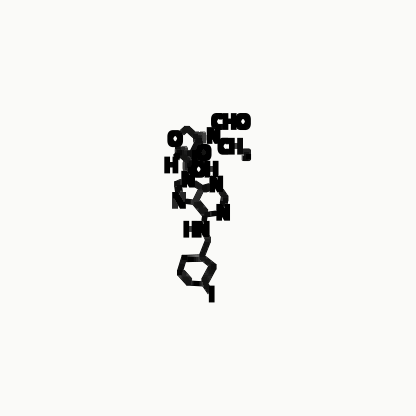 CN(C=O)[C@]12CO[C@@H]([C@H](n3cnc4c(NCc5cccc(I)c5)ncnc43)O1)[C@@H]2O